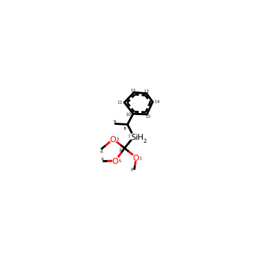 COC(OC)(OC)[SiH2]C(C)c1ccccc1